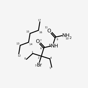 CCC(Br)(CC)C(=O)NC(N)=O.CCCCCC